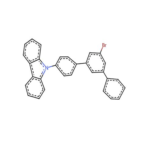 Brc1cc(-c2ccccc2)cc(-c2ccc(-n3c4ccccc4c4ccccc43)cc2)c1